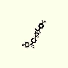 Cc1c(-c2ccc(N(C)C)cc2)nc2sc(N3CCC(C(=O)N4CCN(C)CC4)CC3)nn12